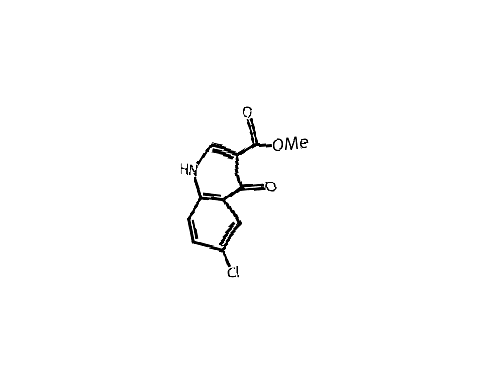 COC(=O)c1c[nH]c2ccc(Cl)cc2c1=O